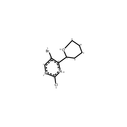 Clc1ncc(Br)c(C2CCCCO2)n1